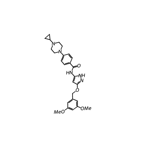 COc1cc(COc2cc(NC(=O)c3ccc(N4CCN(C5CC5)CC4)cc3)[nH]n2)cc(OC)c1